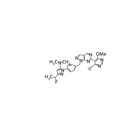 COc1ncnc(C2CC2)c1-c1ncc2cnn(Cc3ccc(-n4nc(C(C)F)cc4N(C)C)cc3)c2n1